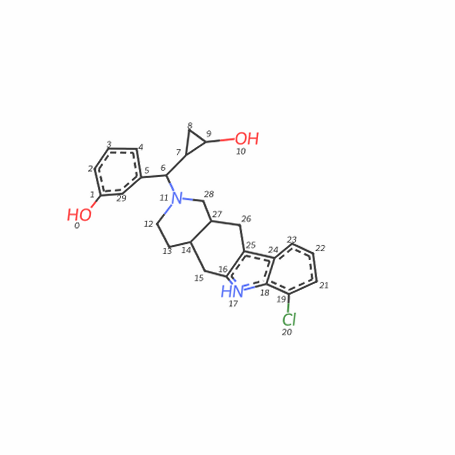 Oc1cccc(C(C2CC2O)N2CCC3Cc4[nH]c5c(Cl)cccc5c4CC3C2)c1